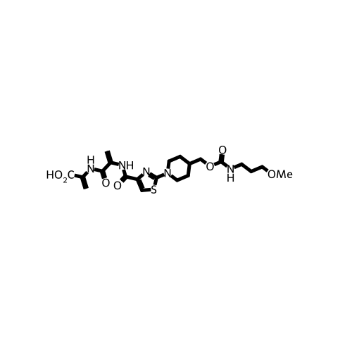 C=C(NC(=O)C(=C)NC(=O)c1csc(N2CCC(COC(=O)NCCCOC)CC2)n1)C(=O)O